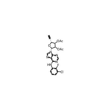 C#C[C@H]1O[C@@H](n2cnc3c(Nc4cccc(Cl)c4F)ncnc32)[C@H](OC(C)=O)[C@@H]1OC(C)=O